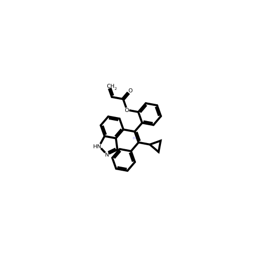 C=CC(=O)Oc1ccccc1/C(=C(/c1ccccc1)C1CC1)c1cccc2[nH]ncc12